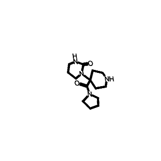 O=C1NCCCN1C1(C(=O)N2CCCC2)CCNCC1